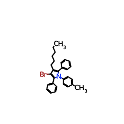 CCCCCCc1c(Br)c(-c2ccccc2)n(-c2ccc(C)cc2)c1-c1ccccc1